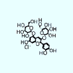 OC[C@H]1O[C@@H](Oc2cc3c(O[C@@H]4O[C@H](CO)[C@@H](O)[C@H](O)[C@H]4O)cc(O)cc3[o+]c2-c2ccc(O)c(O)c2)[C@H](O)[C@@H](O)[C@@H]1O.[Cl-]